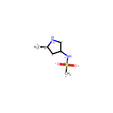 C[C@@H]1CC(NS(C)(=O)=O)CN1